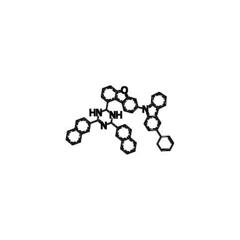 C1=CCC(c2ccc3c(c2)c2ccccc2n3-c2ccc3c(c2)oc2cccc(C4NC(c5ccc6ccccc6c5)=NC(c5ccc6ccccc6c5)N4)c23)C=C1